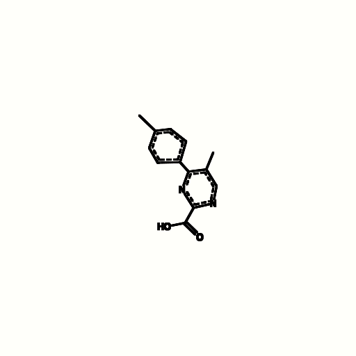 Cc1ccc(-c2nc(C(=O)O)ncc2C)cc1